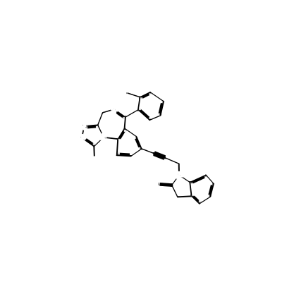 Cc1nnc2n1-c1ccc(C#CCN3C(=O)Cc4ccccc43)cc1C(c1ccccc1Cl)=NC2